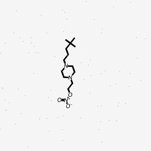 CC(C)(C)CCCN1CCN(CCO[N+](=O)[O-])CC1